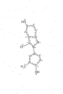 Cc1cc(-n2nc3ccc(O)cc3c2Cl)ccc1O